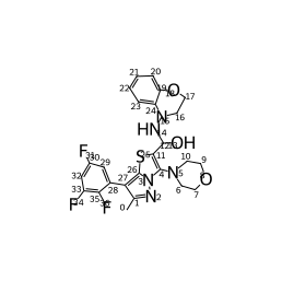 Cc1nn2c(N3CCOCC3)c(C(O)NN3CCOc4ccccc43)sc2c1-c1cc(F)cc(F)c1F